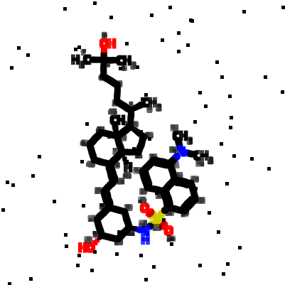 C[C@H](CCCC(C)(C)O)[C@H]1CC[C@H]2/C(=C/C=C3/C[C@@H](O)C[C@H](NS(=O)(=O)c4cccc5c(N(C)C)cccc45)C3)CCC[C@]12C